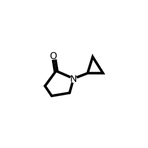 O=C1CCCN1C1[CH]C1